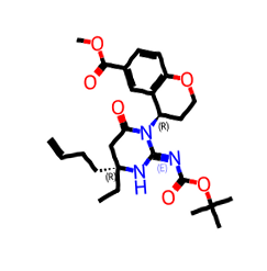 C=CCC[C@]1(CC)CC(=O)N([C@@H]2CCOc3ccc(C(=O)OC)cc32)/C(=N/C(=O)OC(C)(C)C)N1